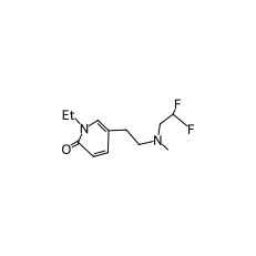 CCn1cc(CCN(C)CC(F)F)ccc1=O